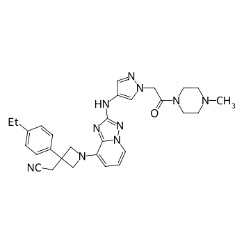 CCc1ccc(C2(CC#N)CN(c3cccn4nc(Nc5cnn(CC(=O)N6CCN(C)CC6)c5)nc34)C2)cc1